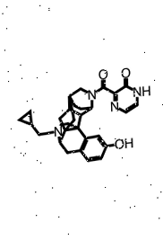 O=C(c1ncc[nH]c1=O)N1CC23CCC1C1C2CC2(C3)C3Cc4ccc(O)cc4C12CCN3CC1CC1